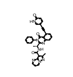 Cc1nn2cccnc2c1C(=O)N[C@@H](C)c1nc2cccc(C#Cc3ccc(=O)[nH]c3)c2c(=O)n1-c1ccccc1